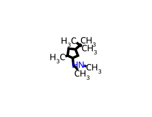 CNC(C)CC1CC(C(C)(C)C)CC1C